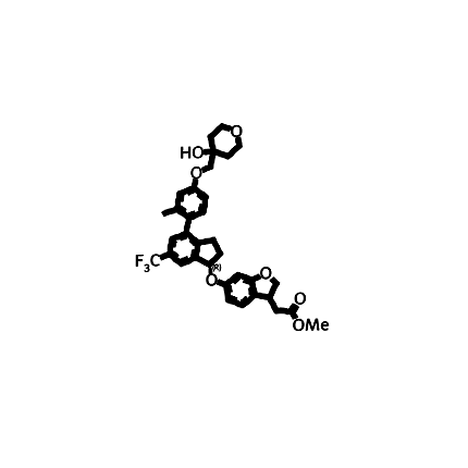 COC(=O)CC1COc2cc(O[C@@H]3CCc4c(-c5ccc(OCC6(O)CCOCC6)cc5C)cc(C(F)(F)F)cc43)ccc21